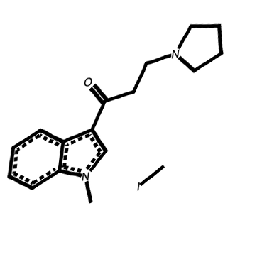 CI.Cn1cc(C(=O)CCN2CCCC2)c2ccccc21